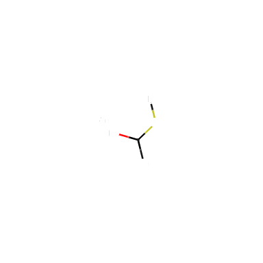 CCSC(O)C(=O)[O-].[Au+]